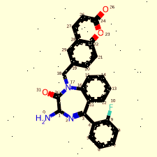 NC1N=C(c2ccccc2F)c2ccccc2N(Cc2ccc3oc(=O)ccc3c2)C1=O